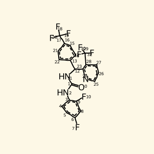 O=C(Nc1ccc(F)cc1F)NC(c1ccc(C(F)(F)F)cc1)c1ncccc1C(F)(F)F